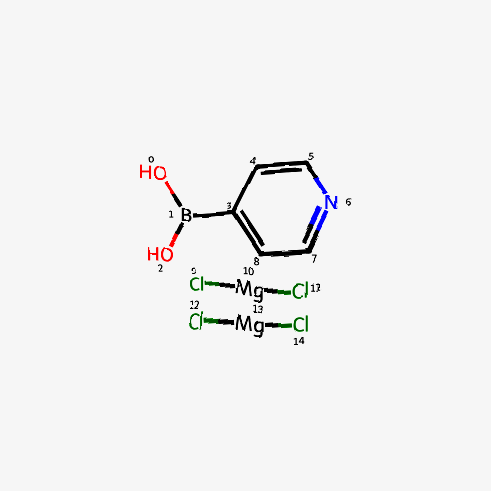 OB(O)c1ccncc1.[Cl][Mg][Cl].[Cl][Mg][Cl]